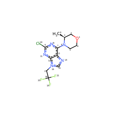 C[C@H]1COCCN1c1nc(Cl)nc2c1ncn2CC(F)(F)F